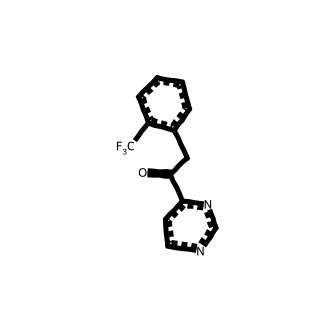 O=C(Cc1ccccc1C(F)(F)F)c1ccncn1